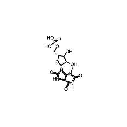 Cn1c(=O)[nH]c(=O)c2[nH]c(=O)n([C@@H]3O[C@H](COP(=O)(O)O)[C@@H](O)[C@H]3O)c21